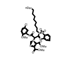 CCCCCCCCCCCCCCCCCCN1C(C(C(=O)Nc2cc(Cl)ccc2OC)n2cnc(C(=O)OC)c2C(=O)OC)=Nc2ccccc2S1(=O)=O